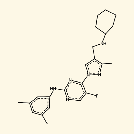 Cc1cc(C)cc(Nc2ncc(F)c(-n3cc(CNC4CCCCC4)c(C)n3)n2)c1